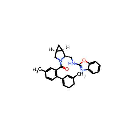 CC1=CC(c2ccc(C)cc2C(=O)N2C[C@H]3C[C@H]3[C@H]2CNc2nc3ccccc3o2)=CCC1